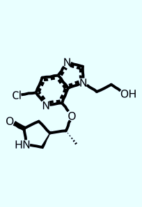 C[C@@H](Oc1nc(Cl)cc2ncn(CCO)c12)[C@H]1CNC(=O)C1